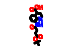 CC(C)(C)OC(=O)CCC(=O)Nc1cccc2c(C(=O)O)ccnc12